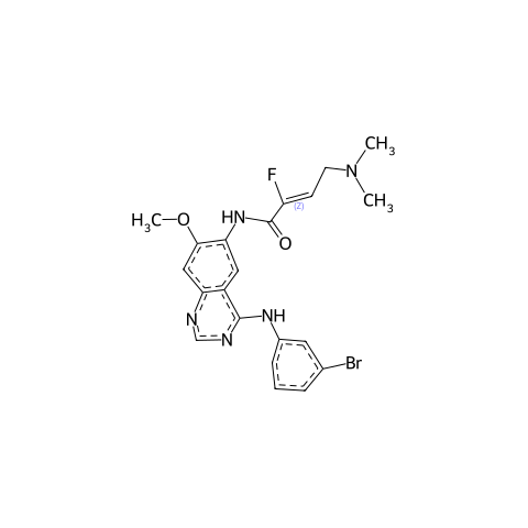 COc1cc2ncnc(Nc3cccc(Br)c3)c2cc1NC(=O)/C(F)=C/CN(C)C